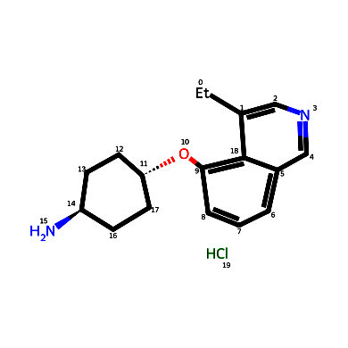 CCc1cncc2cccc(O[C@H]3CC[C@H](N)CC3)c12.Cl